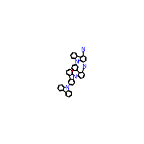 N#Cc1cccc(-n2c3ccccc3c3cc(-n4c5ccccc5c5ccccc54)ccc32)c1-c1cccc(-n2c3ccccc3c3c(C#N)cccc32)c1